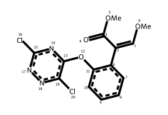 CO/C=C(\C(=O)OC)c1ccccc1Oc1nc(Cl)nnc1Cl